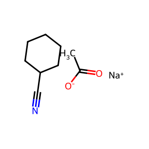 CC(=O)[O-].N#CC1CCCCC1.[Na+]